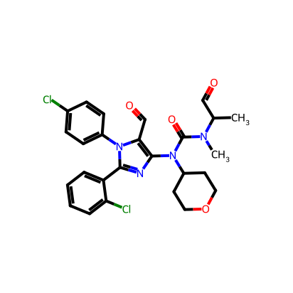 CC(C=O)N(C)C(=O)N(c1nc(-c2ccccc2Cl)n(-c2ccc(Cl)cc2)c1C=O)C1CCOCC1